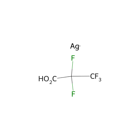 O=C(O)C(F)(F)C(F)(F)F.[Ag]